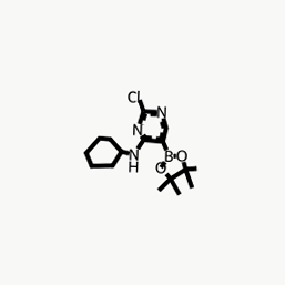 CC1(C)OB(c2cnc(Cl)nc2NC2CCCCC2)OC1(C)C